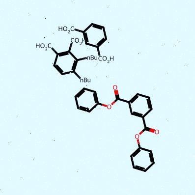 CCCCc1ccc(C(=O)O)c(C(=O)O)c1CCCC.O=C(O)c1cccc(C(=O)O)c1.O=C(Oc1ccccc1)c1cccc(C(=O)Oc2ccccc2)c1